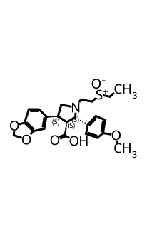 CC[S+]([O-])CCN1C[C@H](c2ccc3c(c2)OCO3)[C@H](C(=O)O)[C@H]1c1ccc(OC)cc1